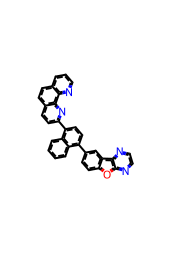 c1cnc2c(c1)ccc1ccc(-c3ccc(-c4ccc5oc6nccnc6c5c4)c4ccccc34)nc12